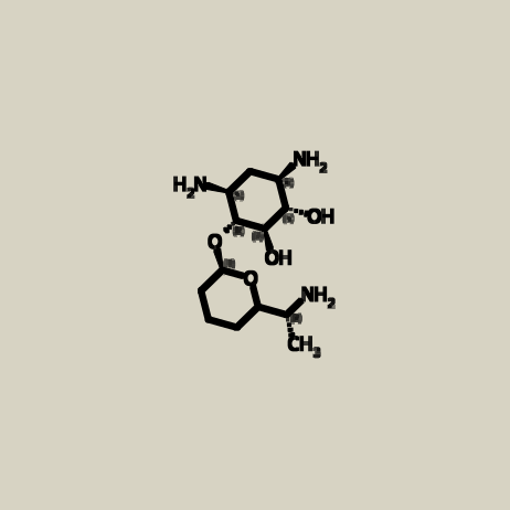 C[C@@H](N)C1CCC[C@@H](O[C@H]2[C@H](O)[C@@H](O)[C@H](N)C[C@@H]2N)O1